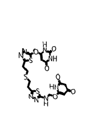 O=C1C=C(OCNc2nnc(CCSCCc3nnc(Oc4cc(=O)[nH]c(=O)[nH]4)s3)s2)NC(=O)C1